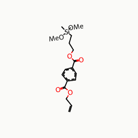 C=CCOC(=O)c1ccc(C(=O)OCCC[Si](C)(OC)OC)cc1